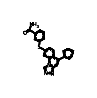 NC(=O)c1cccc(Sc2ccc3c(-c4ccccc4)cc4nncn4c3c2)c1